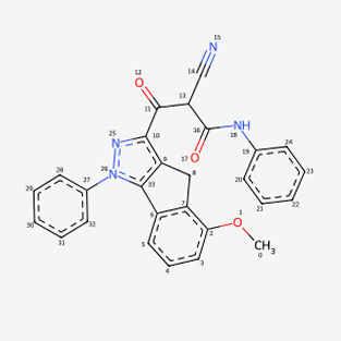 COc1cccc2c1Cc1c(C(=O)C(C#N)C(=O)Nc3ccccc3)nn(-c3ccccc3)c1-2